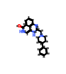 O=c1[nH]cc2c3c(cccc13)N=C(CN1CC=C(c3ccccc3)CC1)N2